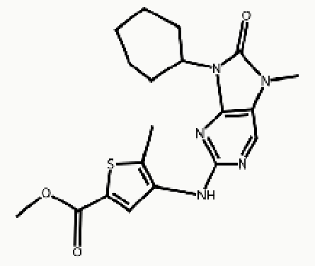 COC(=O)c1cc(Nc2ncc3c(n2)n(C2CCCCC2)c(=O)n3C)c(C)s1